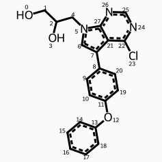 OCC(O)Cn1cc(-c2ccc(Oc3ccccc3)cc2)c2c(Cl)ncnc21